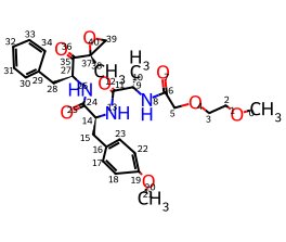 COCCOCC(=O)N[C@@H](C)C(=O)N[C@@H](Cc1ccc(OC)cc1)C(=O)N[C@@H](Cc1ccccc1)C(=O)[C@@]1(C)CO1